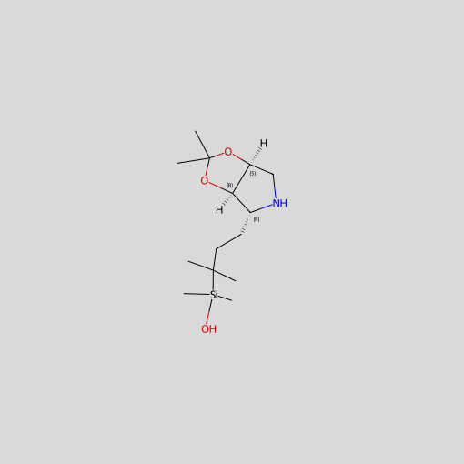 CC1(C)O[C@H]2[C@H](CN[C@@H]2CCC(C)(C)[Si](C)(C)O)O1